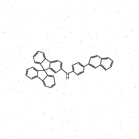 c1ccc2c(c1)-c1ccccc1C21c2ccccc2-c2ccc(Nc3ccc(-c4ccc5ccccc5c4)cc3)cc21